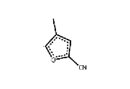 Cc1[c]oc(C#N)c1